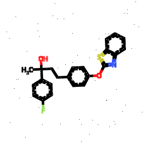 CC(O)(CCc1ccc(Oc2nc3ccccc3s2)cc1)c1ccc(F)cc1